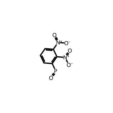 O=Pc1cccc([N+](=O)[O-])c1[N+](=O)[O-]